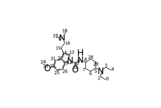 CCN(CC)C1CCC(NC(=O)n2cc(CCN(C)C)c3cc(OC)ccc32)CC1